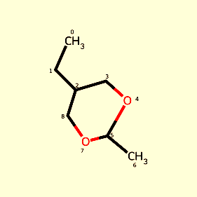 CCC1COC(C)OC1